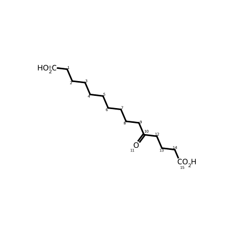 O=C(O)CCCCCCCCCC(=O)CCCC(=O)O